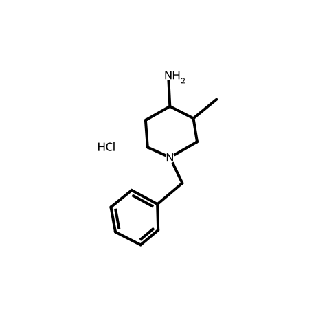 CC1CN(Cc2ccccc2)CCC1N.Cl